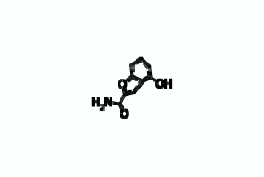 NC(=O)c1cc2c(O)cccc2o1